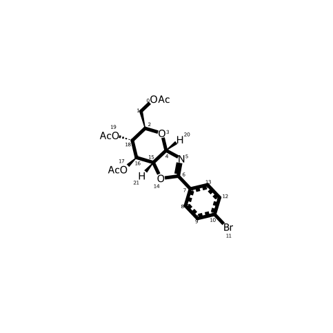 CC(=O)OC[C@H]1O[C@@H]2N=C(c3ccc(Br)cc3)O[C@@H]2[C@@H](OC(C)=O)[C@@H]1OC(C)=O